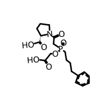 O=C(O)COP(=O)(CCCCc1ccccc1)CC(=O)N1CCC[C@H]1C(=O)O